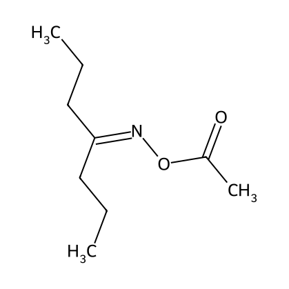 CCCC(CCC)=NOC(C)=O